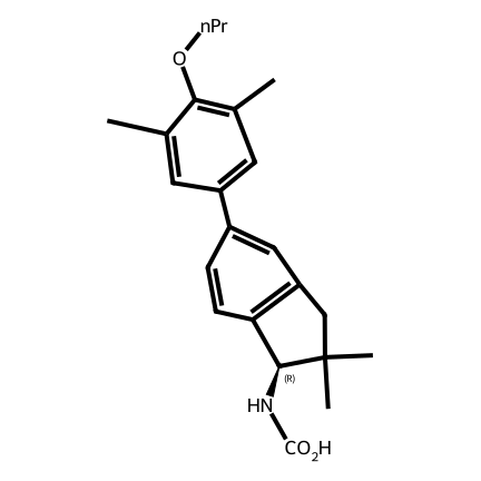 CCCOc1c(C)cc(-c2ccc3c(c2)CC(C)(C)[C@H]3NC(=O)O)cc1C